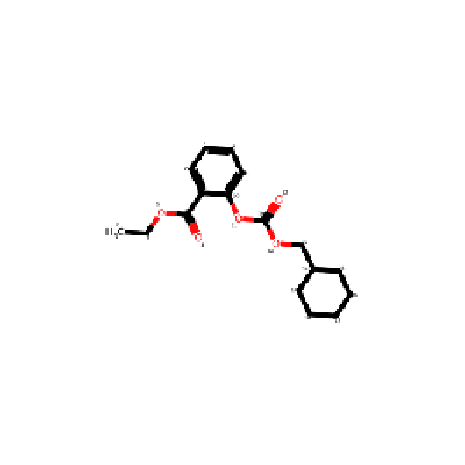 CCOC(=O)c1ccccc1OC(=O)O[CH]C1CCCCC1